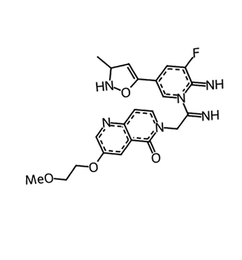 COCCOc1cnc2ccn(CC(=N)n3cc(C4=CC(C)NO4)cc(F)c3=N)c(=O)c2c1